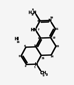 CN1C=CCC2=C3NC(N)=NC=C3CCC21.I